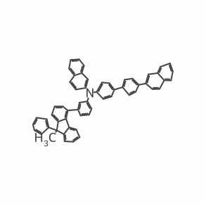 CC1(c2ccccc2)c2ccccc2-c2c(-c3cccc(N(c4ccc(-c5ccc(-c6ccc7ccccc7c6)cc5)cc4)c4ccc5ccccc5c4)c3)cccc21